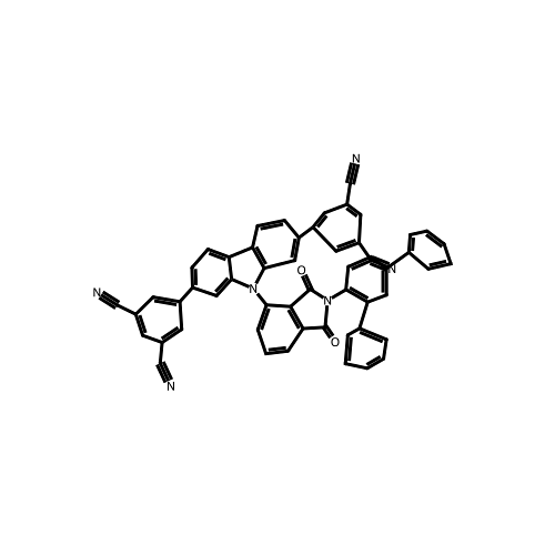 N#Cc1cc(C#N)cc(-c2ccc3c4ccc(-c5cc(C#N)cc(C#N)c5)cc4n(-c4cccc5c4C(=O)N(c4ccc(-c6ccccc6)cc4-c4ccccc4)C5=O)c3c2)c1